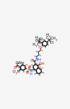 CCC(C)(C)c1ccc(OCCCCNC(=O)c2cc(NS(=O)(=O)c3ccc(C(=O)OC)c([N+](=O)[O-])c3)c3ccccc3c2O)c(C(C)(C)CC)c1